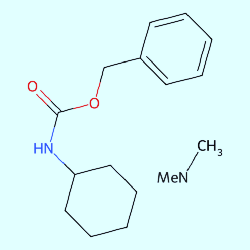 CNC.O=C(NC1CCCCC1)OCc1ccccc1